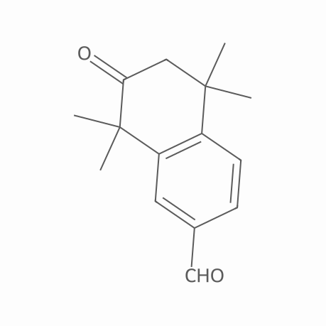 CC1(C)CC(=O)C(C)(C)c2cc(C=O)ccc21